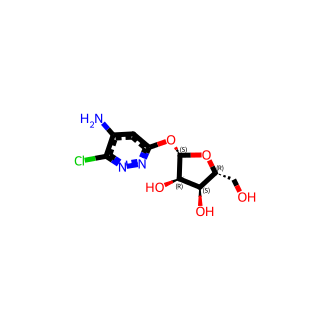 Nc1cc(O[C@@H]2O[C@H](CO)[C@@H](O)[C@H]2O)nnc1Cl